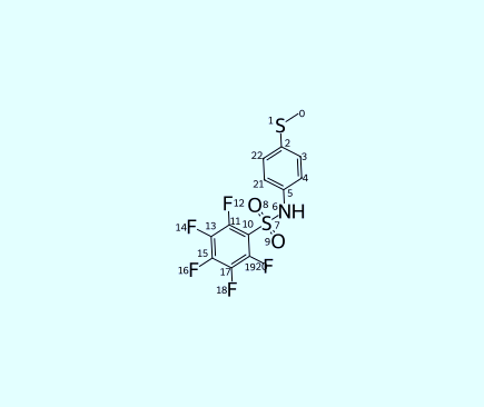 CSc1ccc(NS(=O)(=O)c2c(F)c(F)c(F)c(F)c2F)cc1